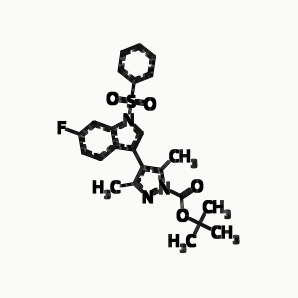 Cc1nn(C(=O)OC(C)(C)C)c(C)c1-c1cn(S(=O)(=O)c2ccccc2)c2cc(F)ccc12